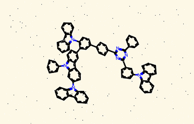 c1ccc(-c2nc(-c3ccc(-c4ccc(-n5c6ccccc6c6ccccc65)c(-c5ccc6c(c5)c5ccc(-n7c8ccccc8c8ccccc87)cc5n6-c5ccccc5)c4)cc3)nc(-c3cccc(-n4c5ccccc5c5ccccc54)c3)n2)cc1